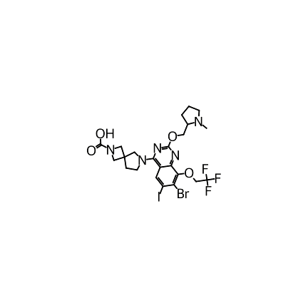 CN1CCCC1COc1nc(N2CCC3(CN(C(=O)O)C3)C2)c2cc(I)c(Br)c(OCC(F)(F)F)c2n1